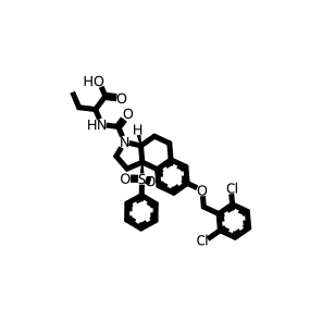 CCC(NC(=O)N1CC[C@@]2(S(=O)(=O)c3ccccc3)c3ccc(OCc4c(Cl)cccc4Cl)cc3CC[C@@H]12)C(=O)O